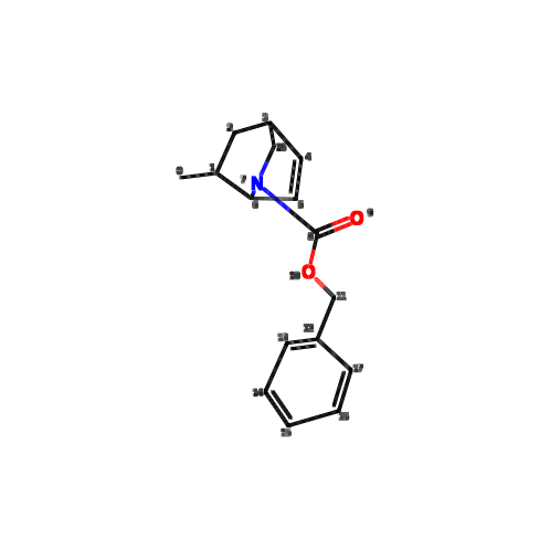 CC1CC2C=CC1N(C(=O)OCc1ccccc1)C2